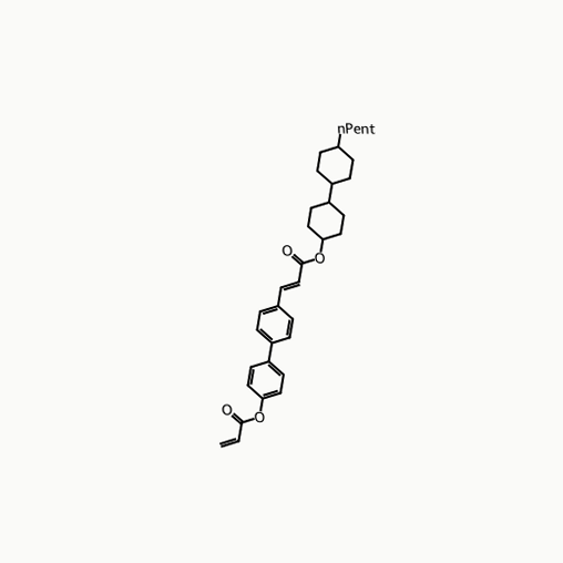 C=CC(=O)Oc1ccc(-c2ccc(/C=C/C(=O)OC3CCC(C4CCC(CCCCC)CC4)CC3)cc2)cc1